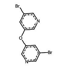 Brc1cncc(Oc2cncc(Br)c2)c1